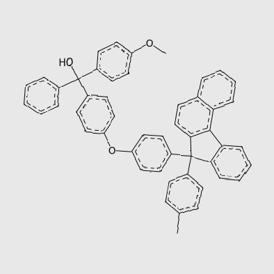 COc1ccc(C(O)(c2ccccc2)c2ccc(Oc3ccc(C4(c5ccc(C)cc5)c5ccccc5-c5c4ccc4ccccc54)cc3)cc2)cc1